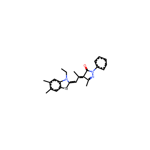 CCN1C(=CC(C)=C2C(=O)N(c3ccccc3)N=C2C)[Te]c2cc(C)c(C)cc21